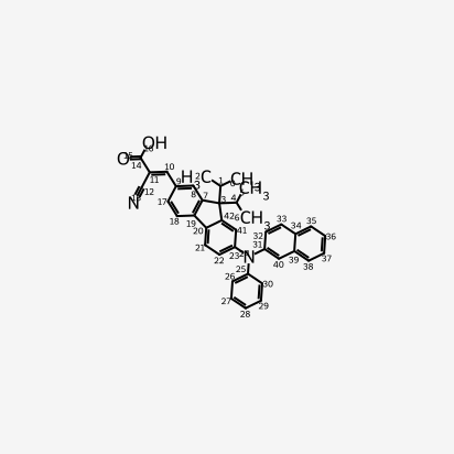 CC(C)C1(C(C)C)c2cc(/C=C(\C#N)C(=O)O)ccc2-c2ccc(N(c3ccccc3)c3ccc4ccccc4c3)cc21